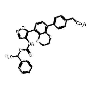 CC(OC(=O)Nc1cnoc1-c1ccc(-c2ccc(CC(=O)O)cc2)c2c1OCCO2)c1ccccc1